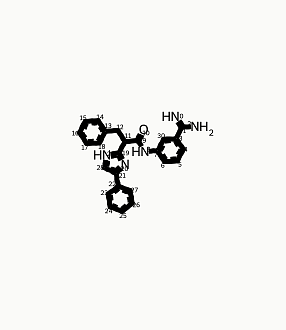 N=C(N)c1cccc(NC(=O)C(Cc2ccccc2)c2nc(-c3ccccc3)c[nH]2)c1